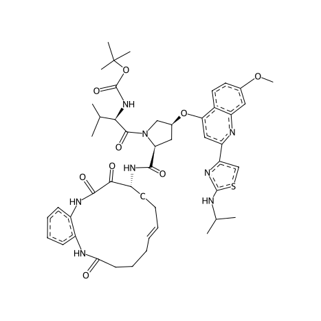 COc1ccc2c(O[C@H]3C[C@@H](C(=O)N[C@@H]4CC/C=C/CCCC(=O)Nc5ccccc5NC(=O)C4=O)N(C(=O)[C@H](NC(=O)OC(C)(C)C)C(C)C)C3)cc(-c3csc(NC(C)C)n3)nc2c1